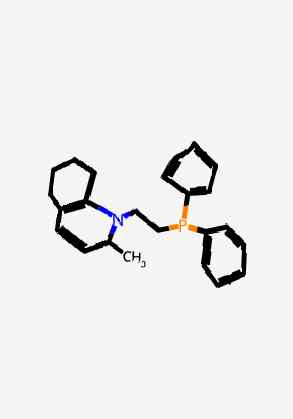 CC1C=CC2=C(CCCC2)N1CCP(c1ccccc1)c1ccccc1